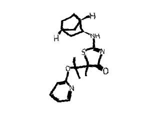 CC(C)(Oc1ccccn1)C1(C)SC(N[C@H]2C[C@@H]3CC[C@H]2C3)=NC1=O